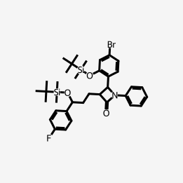 CC(C)(C)[Si](C)(C)Oc1cc(Br)ccc1C1C(CCC(O[Si](C)(C)C(C)(C)C)c2ccc(F)cc2)C(=O)N1c1ccccc1